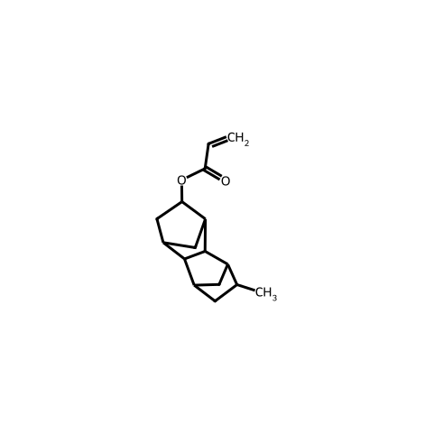 C=CC(=O)OC1CC2CC1C1C3CC(CC3C)C21